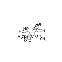 COC1OC(C)[C@H](O[C@@H]2OC(C(=O)O)[C@@H](C)[C@@H](O)[C@@H]2O)[C@H](S(=O)(=O)OO)[C@@H]1O